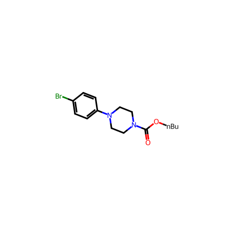 CCCCOC(=O)N1CCN(c2ccc(Br)cc2)CC1